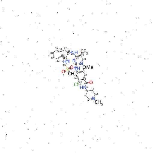 COc1cc(C(=O)NC2CCN(C)CC2)c(Cl)cc1Nc1ncc(C(F)(F)F)c(N[C@@H]2Cc3ccccc3[C@H]2NCS(C)(=O)=O)n1